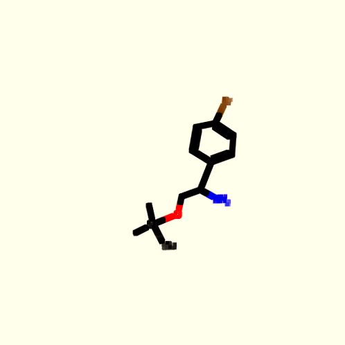 CC(C)(C)[Si](C)(C)OCC(N)c1ccc(Br)cc1